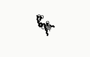 CCCCCNC(=O)N(Cc1cccc(CN(CC2CO2)CC2CO2)c1)C(=O)NCCCC